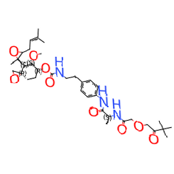 CO[C@H]1[C@H](C2(C)OC2CC=C(C)C)[C@]2(CC[C@H]1OC(=O)NCCc1ccc(NC(=O)[C@H](C)NC(=O)COCC(=O)C(C)(C)C)cc1)CO2